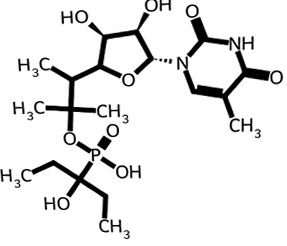 CCC(O)(CC)P(=O)(O)OC(C)(C)C(C)C1O[C@@H](n2cc(C)c(=O)[nH]c2=O)[C@H](O)[C@@H]1O